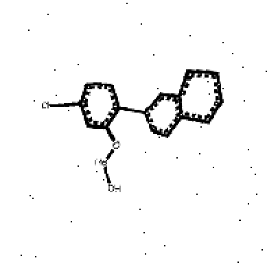 OBOc1cc(Cl)ccc1-c1ccc2ccccc2c1